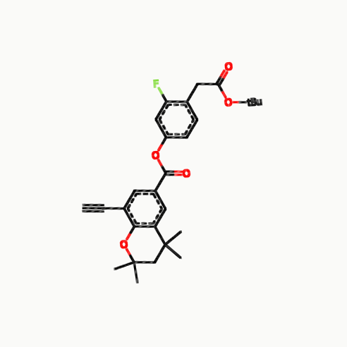 C#Cc1cc(C(=O)Oc2ccc(CC(=O)OC(C)(C)C)c(F)c2)cc2c1OC(C)(C)CC2(C)C